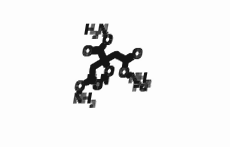 NOC(=O)CC(CC(=O)ON)(ON)C(=O)ON.[Pd]